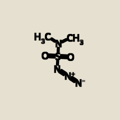 CN(C)S(=O)(=O)N=[N+]=[N-]